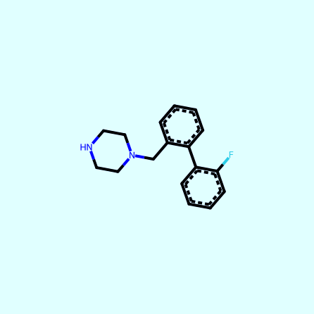 Fc1ccccc1-c1ccccc1CN1CCNCC1